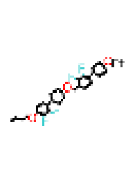 C=CCCOc1ccc(C2CCC(OCc3ccc(-c4ccc(OCC)cc4)c(F)c3F)CC2)c(F)c1F